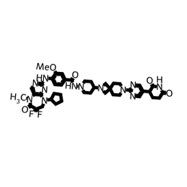 COc1cc(C(=O)NN2CCC(N3CC4(CCN(c5ncc(C6CCC(=O)NC6=O)cn5)CC4)C3)CC2)ccc1Nc1ncc2c(n1)N(C1CCCC1)CC(F)(F)C(=O)N2C